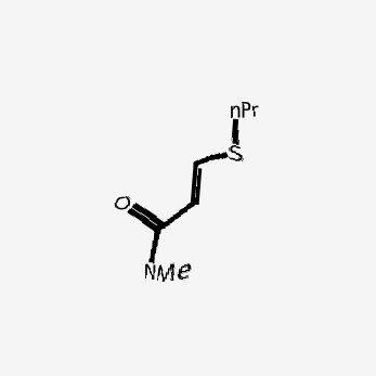 CCCSC=CC(=O)NC